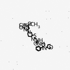 COc1cc(N2CCc3nc(NC(=O)Nc4ccccc4C(=O)NC4CCOC4)sc3C2)nc(OC)n1